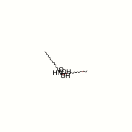 CCCCCCCCCCCCCCCC(=O)NC(C)(CO)[C@H](O)CCCCCCCCCCCCCCC